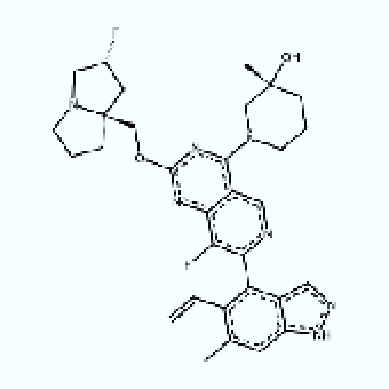 C=Cc1c(C)cc2[nH]ncc2c1-c1ncc2c(N3CCC[C@@](C)(O)C3)nc(OC[C@@]34CCCN3C[C@H](F)C4)nc2c1F